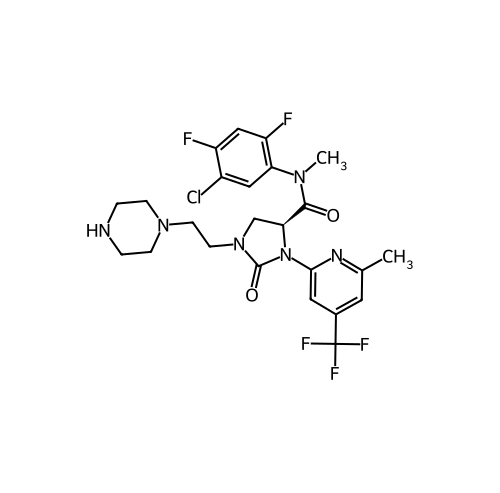 Cc1cc(C(F)(F)F)cc(N2C(=O)N(CCN3CCNCC3)C[C@H]2C(=O)N(C)c2cc(Cl)c(F)cc2F)n1